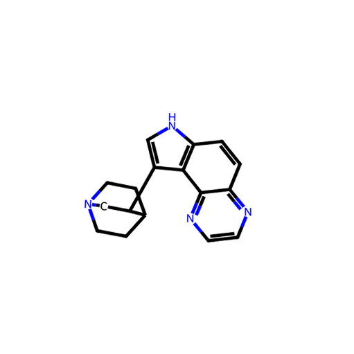 c1cnc2c(ccc3[nH]cc(C4CN5CCC4CC5)c32)n1